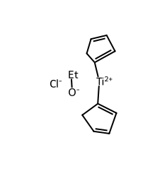 C1=CC[C]([Ti+2][C]2=CC=CC2)=C1.CC[O-].[Cl-]